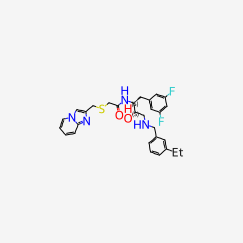 CCc1cccc(CNC[C@H](O)[C@H](Cc2cc(F)cc(F)c2)NC(=O)CSCc2cn3ccccc3n2)c1